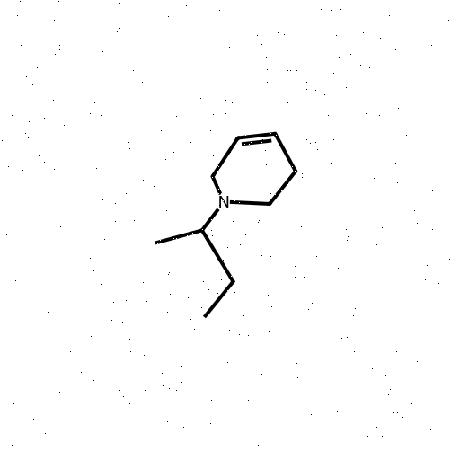 CCC(C)N1CC=CCC1